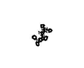 C1=CCCC(n2c3ccccc3c3cc4c5ccccc5n(-c5cncc(-c6nc(-c7ccccc7)nc(-c7ccccc7)n6)c5)c4cc32)=C1